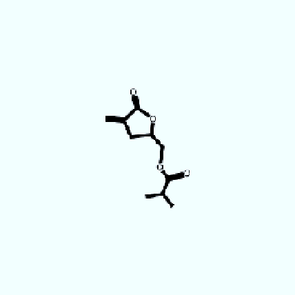 C=C1CC(COC(=O)C(C)C)OC1=O